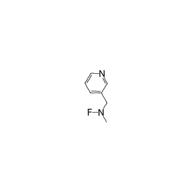 CN(F)Cc1cccnc1